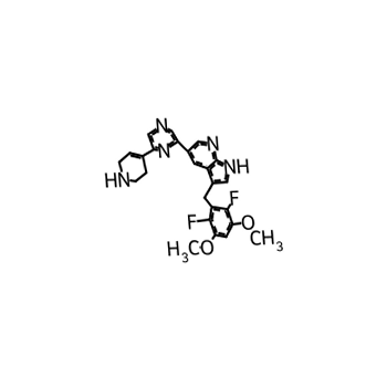 COc1cc(OC)c(F)c(Cc2c[nH]c3ncc(-c4cncc(C5=CCNCC5)n4)cc23)c1F